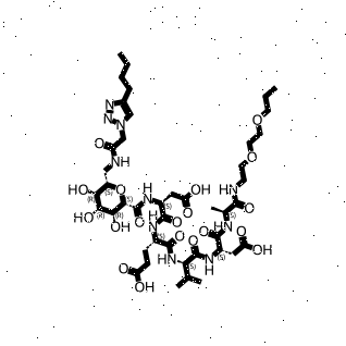 CCCCc1cn(CC(=O)NC[C@@H]2O[C@H](C(=O)N[C@@H](CC(=O)O)C(=O)N[C@@H](CCC(=O)O)C(=O)N[C@H](C(=O)N[C@@H](CC(=O)O)C(=O)N[C@@H](C)C(=O)NCCOCCOCCC)C(C)C)[C@H](O)[C@H](O)[C@H]2O)nn1